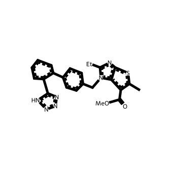 CCc1nc2sc(C)c(C(=O)OC)c2n1Cc1ccc(-c2ccccc2-c2nnn[nH]2)cc1